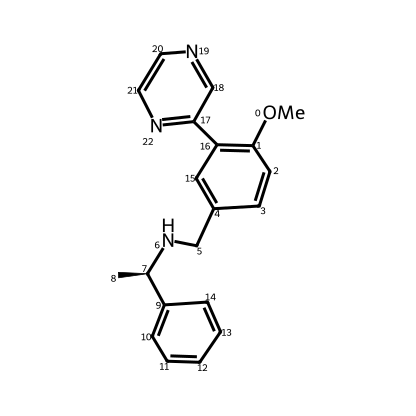 COc1ccc(CN[C@H](C)c2ccccc2)cc1-c1cnccn1